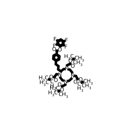 CC(C)(C)OC(=O)CN1CCN(CC(=O)OC(C)(C)C)CCN(CC(=O)OC(C)(C)C)C(CCCc2ccc(C(=O)Oc3c(F)c(F)cc(F)c3F)cc2)CN(CC(=O)OC(C)(C)C)CC1